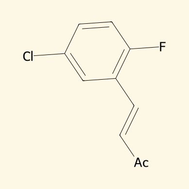 CC(=O)/C=C/c1cc(Cl)ccc1F